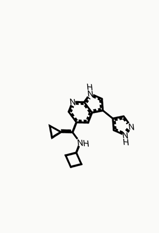 c1nc2[nH]cc(-c3cn[nH]c3)c2cc1C(NC1CCC1)=C1CC1